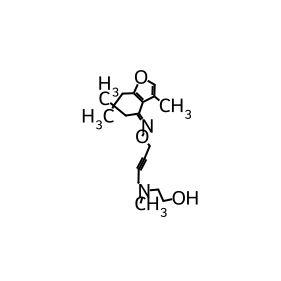 Cc1coc2c1/C(=N/OCC#CCN(C)CCO)CC(C)(C)C2